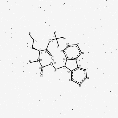 CCC[C@@H](C(=O)OC(C)(C)C)N(C)C(=O)OCC1c2ccccc2-c2ccccc21